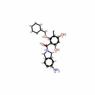 Cc1c(O)cc(O)c(C(=O)N2Cc3ccc(N)cc3C2)c1OCC1CCCCC1